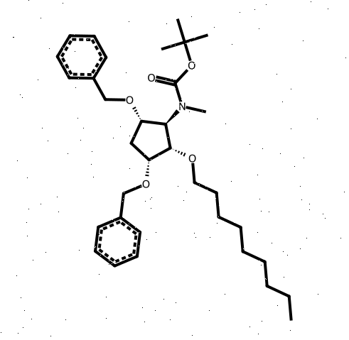 CCCCCCCCCO[C@H]1[C@H](N(C)C(=O)OC(C)(C)C)[C@@H](OCc2ccccc2)C[C@H]1OCc1ccccc1